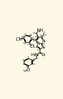 COc1cccc(CNC(=O)c2cn3c(-c4ccc(Cl)cc4Cl)c(CN)c(C)nc3n2)c1